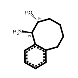 N[C@@H]1c2ccccc2CCCC[C@H]1O